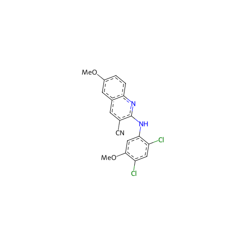 COc1ccc2nc(Nc3cc(OC)c(Cl)cc3Cl)c(C#N)cc2c1